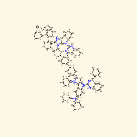 CC1(C)c2ccccc2-c2c(-c3cccc4c5ccccc5n5c(nc6c7ccccc7n(-c7nc(-c8cccc(-c9ccc%10c(c9)c9ccccc9n9c%10cc%10c9c9cc(N(c%11ccccc%11)c%11ccccc%11)ccc9n%10-c9nc(-c%10ccccc%10)c%10ccccc%10n9)c8)c8ccccc8n7)c65)c34)cccc21